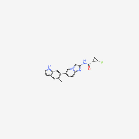 Cc1cc2cc[nH]c2cc1-c1ccc2nc(NC(=O)[C@@H]3C[C@@H]3F)cn2c1